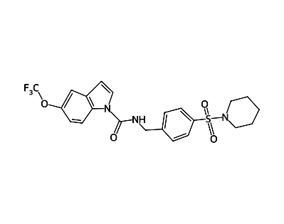 O=C(NCc1ccc(S(=O)(=O)N2CCCCC2)cc1)n1ccc2cc(OC(F)(F)F)ccc21